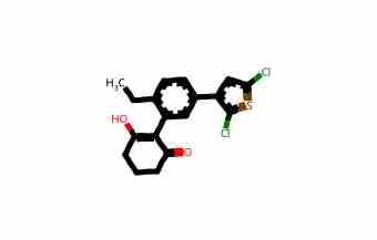 CCc1ccc(-c2cc(Cl)sc2Cl)cc1C1=C(O)CCCC1=O